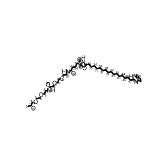 CC(=O)COCCOCCNC(=O)COCCOCCNC(=O)CCCS(=O)(=O)NC(=O)CCCCCCCCCCCCCCCCc1nnn[nH]1